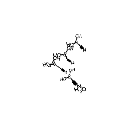 N#CB(O)O.N#CB(O)O.N#CB(O)O.N#CB(O)O.O